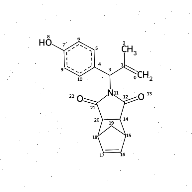 C=C(C)C(c1ccc(O)cc1)N1C(=O)C2C3C=CC(C3)C2C1=O